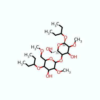 CCC(CC)OC1C(COC)OC(OC2C(O)C(OC)[C@H](OC(CC)CC)O[C@H]2CO)C(OC)C1O